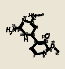 CNC1=CC(c2ccnc(OC)c2Cl)NC(N)=N1